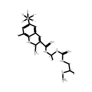 Cc1cc(S(F)(F)(F)(F)F)cc2c1OC(C(F)(F)F)C(C(=O)OC(C)OC(=O)OCC(C)O[N+](=O)[O-])=C2